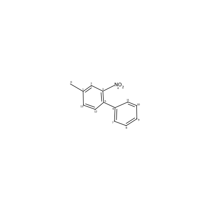 Cc1[c]c([N+](=O)[O-])c(-c2ccccc2)cc1